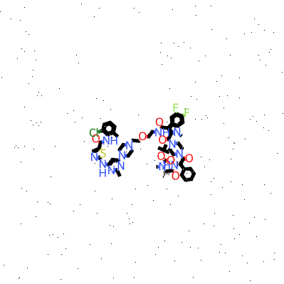 Cc1nc(Nc2ncc(C(=O)Nc3c(C)cccc3Cl)s2)cc(N2CCN(CCOCCNC(=O)c3c(C(=O)N4CCN(C(=O)[C@@H](NC(=O)[C@H](C)N(C)C(=O)OC(C)(C)C)C5CCCCC5)CC4)n(C)c4cc(F)c(F)cc34)CC2)n1